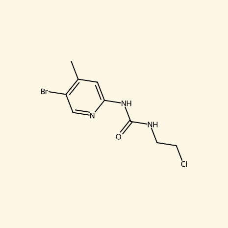 Cc1cc(NC(=O)NCCCl)ncc1Br